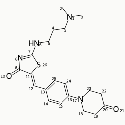 CN(C)CCCNC1=NC(=O)C(=Cc2ccc(N3CCC(=O)CC3)cc2)S1